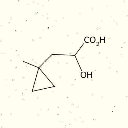 CC1(CC(O)C(=O)O)CC1